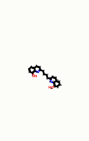 Oc1cccc2ccc(CCCCc3ccc4cccc(O)c4n3)nc12